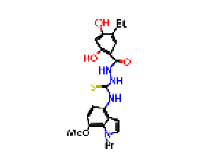 CCc1cc(C(=O)NNC(=S)Nc2ccc(OC)c3c2ccn3C(C)C)c(O)cc1O